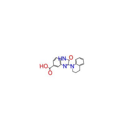 O=C(O)c1ccc2[nH]c(=O)c(N3CCCc4ccccc43)nc2c1